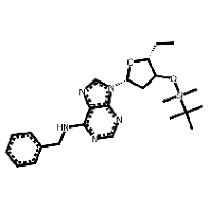 CC[C@H]1O[C@@H](n2cnc3c(NCc4ccccc4)ncnc32)CC1O[Si](C)(C)C(C)(C)C